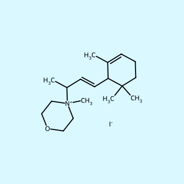 CC1=CCCC(C)(C)C1/C=C/C(C)[N+]1(C)CCOCC1.[I-]